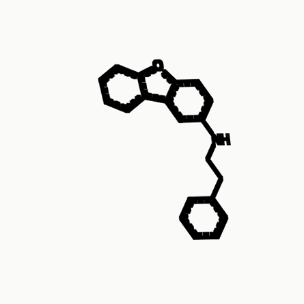 c1ccc(CCNc2ccc3oc4ccccc4c3c2)cc1